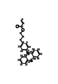 C=CC(=O)OCCCc1ccc(N2c3ccccc3Sc3ccccc32)cc1